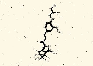 COc1cc(CCC(=O)c2sc(C)c3c2C[C@@H]2[C@H]3C2(C)C)ccc1OC[C@H](O)CO